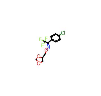 FC(F)(F)C(=NOCC1COCO1)c1ccc(Cl)cc1